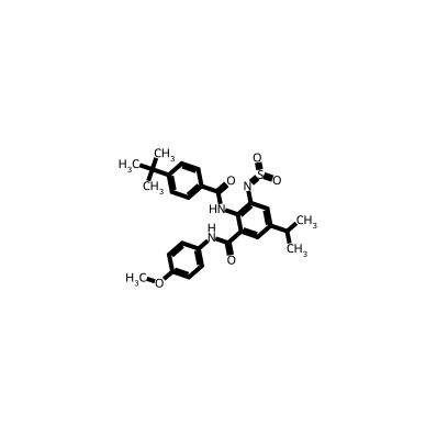 COc1ccc(NC(=O)c2cc(C(C)C)cc(N=S(=O)=O)c2NC(=O)c2ccc(C(C)(C)C)cc2)cc1